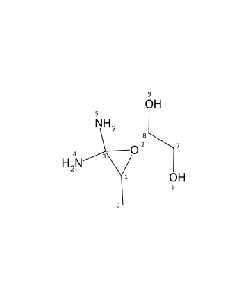 CC1OC1(N)N.OCCO